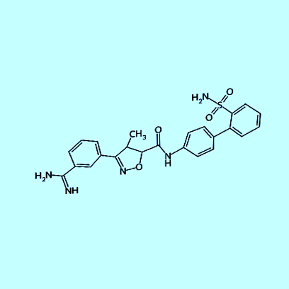 CC1C(c2cccc(C(=N)N)c2)=NOC1C(=O)Nc1ccc(-c2ccccc2S(N)(=O)=O)cc1